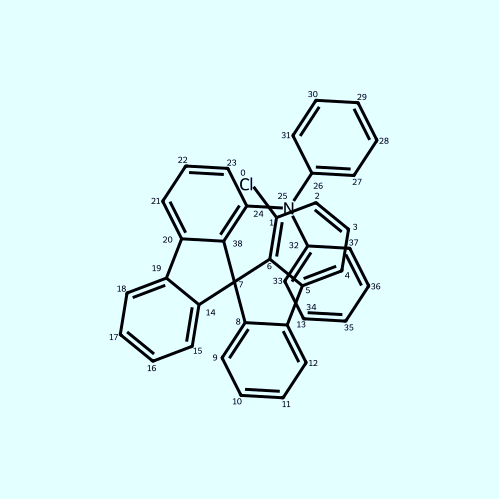 Clc1cccc2c1C1(c3ccccc3-2)c2ccccc2-c2cccc(N(c3ccccc3)c3ccccc3)c21